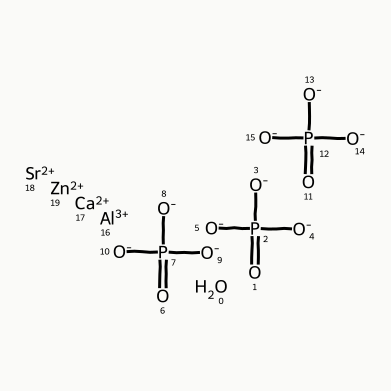 O.O=P([O-])([O-])[O-].O=P([O-])([O-])[O-].O=P([O-])([O-])[O-].[Al+3].[Ca+2].[Sr+2].[Zn+2]